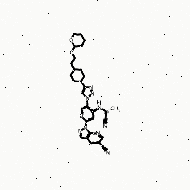 C[C@H](C#N)Nc1cc(-n2ncc3cc(C#N)cnc32)ncc1-n1cc(C2CCC(CCOC3CCCCO3)CC2)nn1